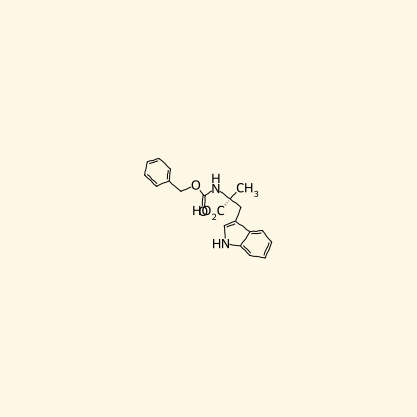 C[C@@](Cc1c[nH]c2ccccc12)(NC(=O)OCc1ccccc1)C(=O)O